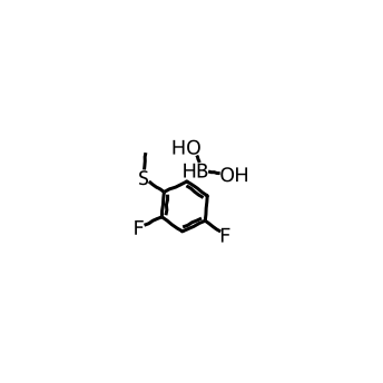 CSc1ccc(F)cc1F.OBO